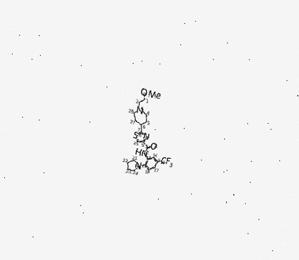 COCCN1CCC(c2nc(C(=O)Nc3cc(C(F)(F)F)ccc3N3CCCC3)cs2)CC1